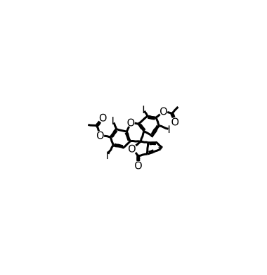 CC(=O)Oc1c(I)cc2c(c1I)Oc1c(cc(I)c(OC(C)=O)c1I)C21OC(=O)c2ccccc21